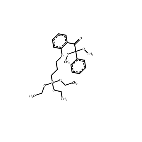 CCO[Si](CCCOc1ccccc1C(=O)C(OC)(OC)c1ccccc1)(OCC)OCC